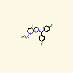 O=C(O)N1CC=C(F)C2(CCN(C(c3ccc(F)cc3)c3ccc(F)cc3)C2)C1